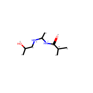 CC(O)CNC(C)NC(=O)C(C)C